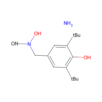 CC(C)(C)c1cc(CN(O)N=O)cc(C(C)(C)C)c1O.N